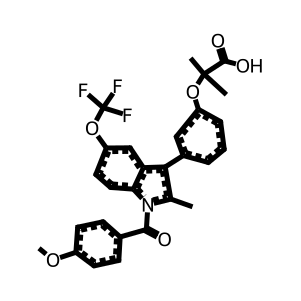 COc1ccc(C(=O)n2c(C)c(-c3cccc(OC(C)(C)C(=O)O)c3)c3cc(OC(F)(F)F)ccc32)cc1